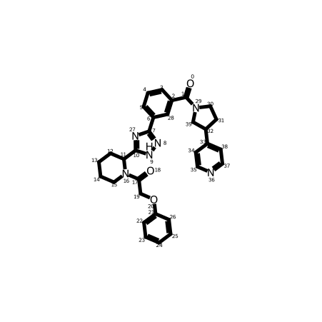 O=C(c1cccc(-c2n[nH]c(C3CCCCN3C(=O)COc3ccccc3)n2)c1)N1CCC(c2ccncc2)C1